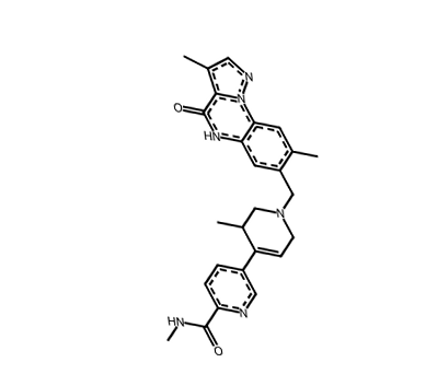 CNC(=O)c1ccc(C2=CCN(Cc3cc4[nH]c(=O)c5c(C)cnn5c4cc3C)CC2C)cn1